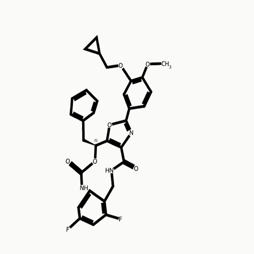 COc1ccc(-c2nc(C(=O)NCc3ccc(F)cc3F)c([C@H](Cc3ccccc3)OC(N)=O)o2)cc1OCC1CC1